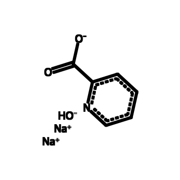 O=C([O-])c1ccccn1.[Na+].[Na+].[OH-]